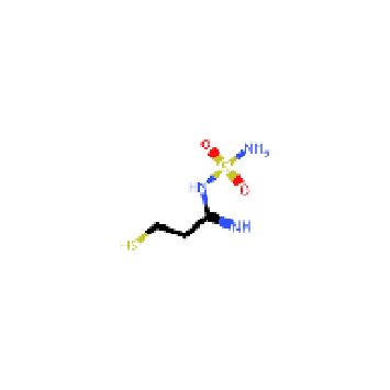 N=C(CCS)NS(N)(=O)=O